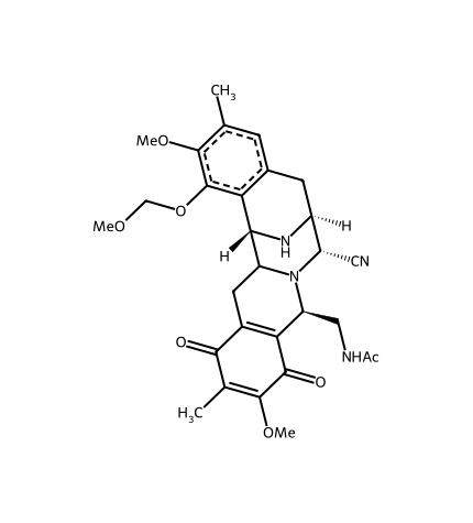 COCOc1c(OC)c(C)cc2c1[C@@H]1N[C@@H](C2)[C@H](C#N)N2C1CC1=C(C(=O)C(OC)=C(C)C1=O)[C@@H]2CNC(C)=O